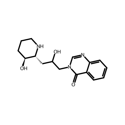 O=c1c2ccccc2ncn1CC(O)C[C@H]1NCCC[C@@H]1O